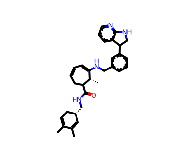 CC1=CC[C@H](CNC(=O)C2CC=CC=C(NCc3cccc(C4CNc5ncccc54)c3)[C@@H]2C)C=C1C